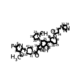 COc1cc(F)cnc1N1CCN(C(=O)c2cc3c([C@@H]4CCCN4C)cc(C4=CCCN(C(=O)CCn5ccnn5)C4)c(F)c3[nH]2)CC1